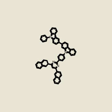 C1=c2ccccc2=CC(c2cc(-c3ccc4ccccc4c3)nc(-c3ccc(-n4c5ccccc5c5ccc(-c6ccc7c(c6)c6ccccc6n7-c6ccccc6)cc54)cc3)n2)C1